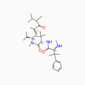 CN[C@H](C(=O)N[C@H](C(=O)N(C)[C@H](/C=C(\C)C(=O)C(C)C(C)C)C(C)C)C(C)(C)C)C(C)(C)c1ccccc1